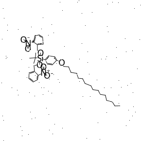 CCCCCCCCCCCCCCCCOc1ccc([Si](OCc2ccccc2[N+](=O)[O-])(OCc2ccccc2[N+](=O)[O-])C(C)(C)C)cc1